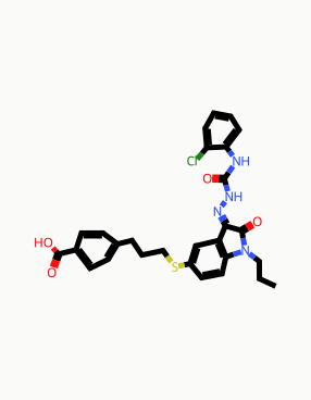 CCCN1C(=O)C(=NNC(=O)Nc2ccccc2Cl)c2cc(SCCCc3ccc(C(=O)O)cc3)ccc21